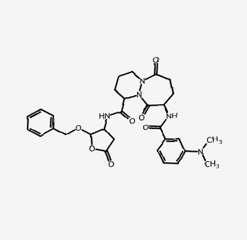 CN(C)c1cccc(C(=O)NC2CCC(=O)N3CCCC(C(=O)NC4CC(=O)OC4OCc4ccccc4)N3C2=O)c1